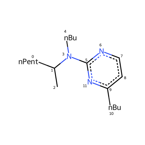 CCCCCC(C)N(CCCC)c1nccc(CCCC)n1